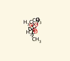 CCCCC(=O)C1(C(COCC2CCCC2)(OC)C(=O)CC(C)C)CCCC1